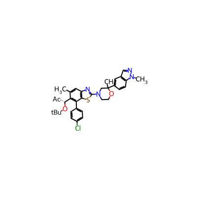 CC(=O)[C@@H](OC(C)(C)C)c1c(C)cc2nc(N3CCOC(C)(c4ccc5c(cnn5C)c4)C3)sc2c1-c1ccc(Cl)cc1